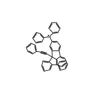 C(#CC1(c2ccccc2-c2ccccc2)c2ccccc2-c2ccc(N(c3ccccc3)c3ccccc3)cc21)c1ccccc1